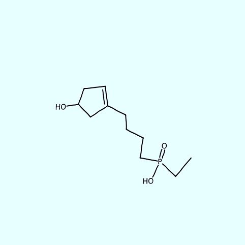 CCP(=O)(O)CCCCC1=CCC(O)C1